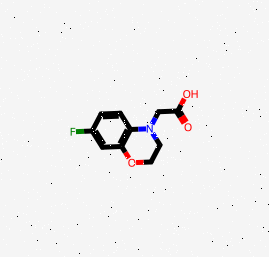 O=C(O)CN1CCOc2cc(F)ccc21